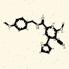 COc1ccc(CNC(=O)c2cc(-c3ccco3)c(C#N)c(OC)n2)cc1